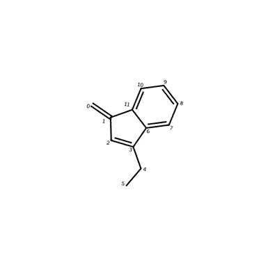 C=C1C=C(CC)c2ccccc21